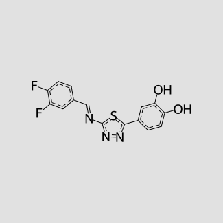 Oc1ccc(-c2nnc(N=Cc3ccc(F)c(F)c3)s2)cc1O